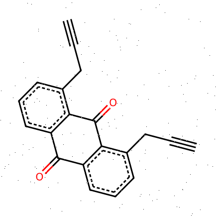 C#CCc1cccc2c1C(=O)c1c(CC#C)cccc1C2=O